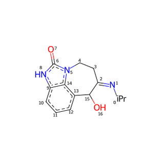 CC(C)/N=C1/CCn2c(=O)[nH]c3cccc(c32)C1O